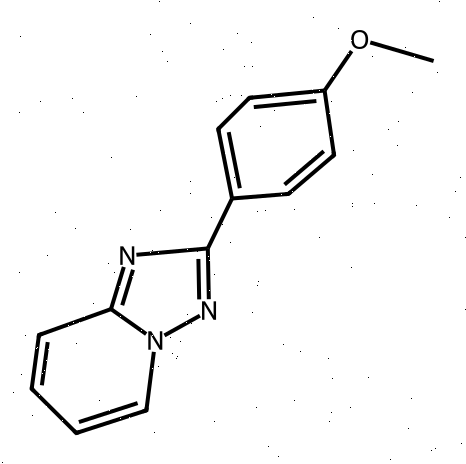 COc1ccc(-c2nc3ccccn3n2)cc1